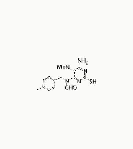 CNc1c(N)nc(S)nc1N(C=O)Cc1ccc(C)cc1